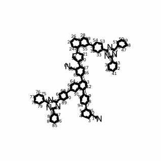 N#Cc1cccc(-c2ccc(-c3ccc(-c4ccc(-c5ccc(-c6cccc7ccc(-c8ccc(-c9nc(-c%10ccccc%10)nc(-c%10ccccc%10)n9)cc8)cc67)cc5)c(C#N)c4)c4ccc(-c5ccc(-c6nc(-c7ccccc7)nc(-c7ccccc7)n6)cc5)cc34)cc2)c1